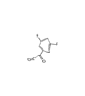 O=CC(=O)c1cc(F)cc(F)c1